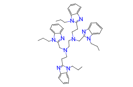 CCCn1c(CCN(CCN(CCc2nc3ccccc3n2CCC)Cc2nc3ccccc3n2CCC)Cc2nc3ccccc3n2CCC)nc2ccccc21